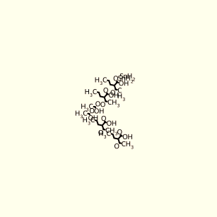 CC(=O)O.CC(=O)O.CCCC(C(C)=O)C(=O)O.CCCC(C(C)=O)C(=O)O.CCCC(C(C)=O)C(=O)O.CCCC(C(C)=O)C(=O)O.[SnH2].[SnH2]